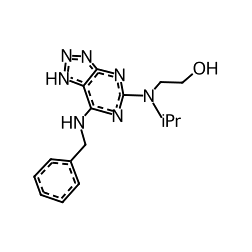 CC(C)N(CCO)c1nc(NCc2ccccc2)c2[nH]nnc2n1